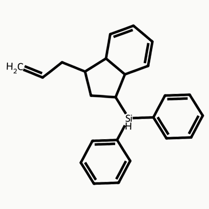 C=CCC1CC([SiH](c2ccccc2)c2ccccc2)C2C=CC=CC12